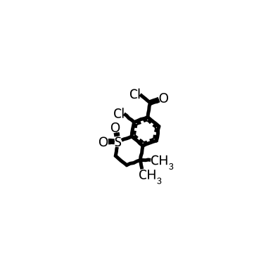 CC1(C)CCS(=O)(=O)c2c1ccc(C(=O)Cl)c2Cl